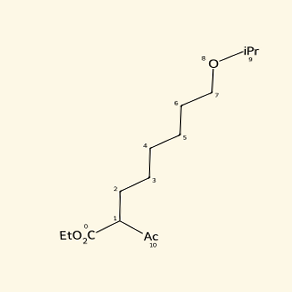 CCOC(=O)C(CCCCCCOC(C)C)C(C)=O